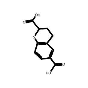 O=C(O)c1ccc2c(c1)CCC(C(=O)O)S2